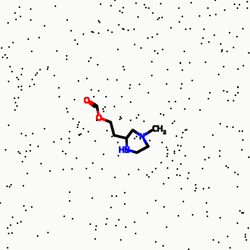 CN1CCNC(CCOC=O)C1